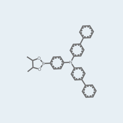 CC1OB(c2ccc(N(c3ccc(-c4ccccc4)cc3)c3ccc(-c4ccccc4)cc3)cc2)OC1C